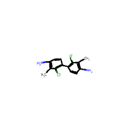 Cc1c(N)ccc(-c2ccc(N)c(C)c2Cl)c1Cl